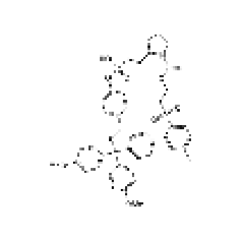 COc1ccc(C(OCc2ccc(OP(=O)(O)OCC3CCCN3C(=O)OCCS(=O)(=O)c3ccc(C)cc3)cc2)(c2ccccc2)c2ccc(OC)cc2)cc1